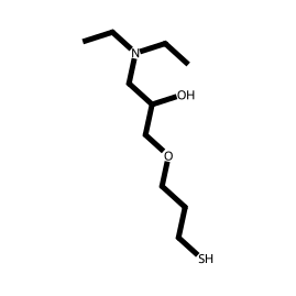 CCN(CC)CC(O)COCCCS